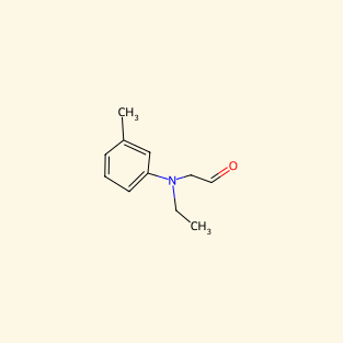 CCN(CC=O)c1cccc(C)c1